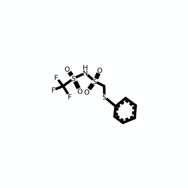 O=S(=O)(CSc1ccccc1)NS(=O)(=O)C(F)(F)F